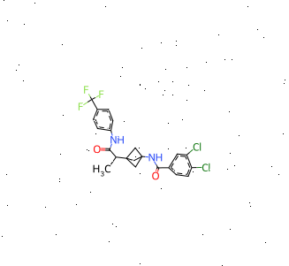 CC(C(=O)Nc1ccc(C(F)(F)F)cc1)C12CC(NC(=O)c3ccc(Cl)c(Cl)c3)(C1)C2